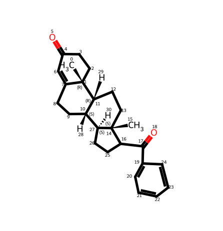 C[C@]12CCC(=O)C=C1CC[C@@H]1[C@H]2CC[C@]2(C)C(C(=O)c3ccccc3)CC[C@@H]12